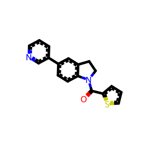 O=C(c1cccs1)N1CCc2cc(-c3cccnc3)ccc21